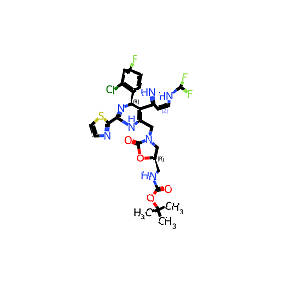 CC(C)(C)OC(=O)NC[C@@H]1CN(CC2=C(C(=N)/C=C\NC(F)F)[C@H](c3ccc(F)cc3Cl)N=C(c3nccs3)N2)C(=O)O1